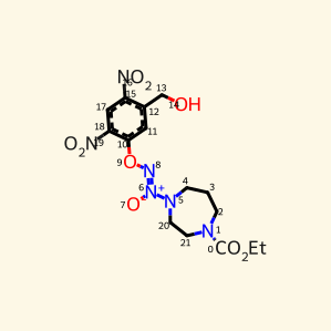 CCOC(=O)N1CCCN(/[N+]([O-])=N/Oc2cc(CO)c([N+](=O)[O-])cc2[N+](=O)[O-])CC1